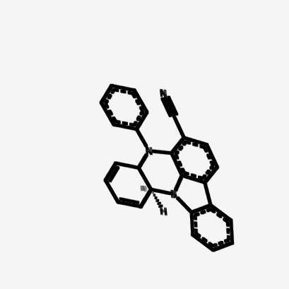 N#Cc1ccc2c3c1N(c1ccccc1)C1C=CC=C[C@@H]1B3c1ccccc1-2